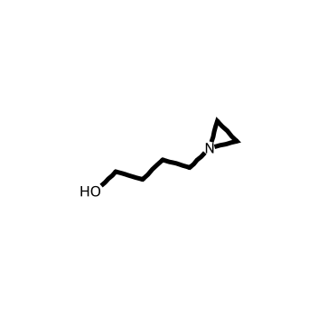 OCCCCN1CC1